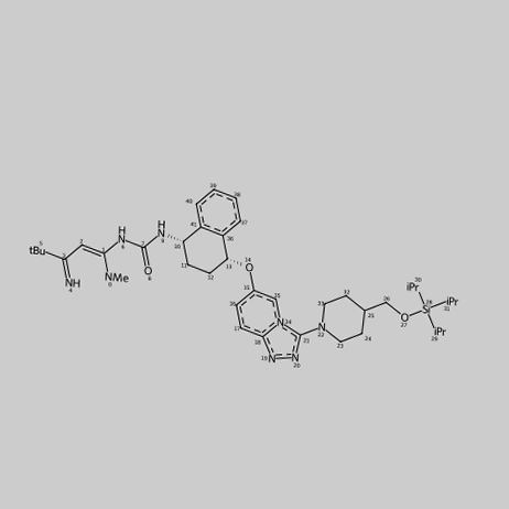 CN/C(=C\C(=N)C(C)(C)C)NC(=O)N[C@H]1CC[C@@H](Oc2ccc3nnc(N4CCC(CO[Si](C(C)C)(C(C)C)C(C)C)CC4)n3c2)c2ccccc21